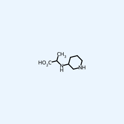 CC(NC1CCCNC1)C(=O)O